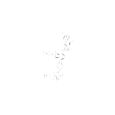 Cc1cn2cc(NC(=O)c3ccc(N4CCN(C(=O)OC(C)(C)C)CC4)c4cn(C5CC6(COC6)C5)nc34)cc(F)c2n1